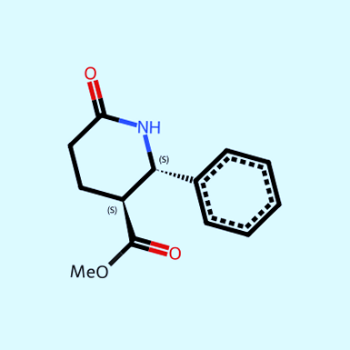 COC(=O)[C@H]1CCC(=O)N[C@@H]1c1ccccc1